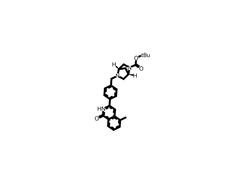 Cc1cccc2c(=O)[nH]c(-c3ccc(CN4C[C@@H]5C[C@H]4CN5C(=O)OC(C)(C)C)cc3)cc12